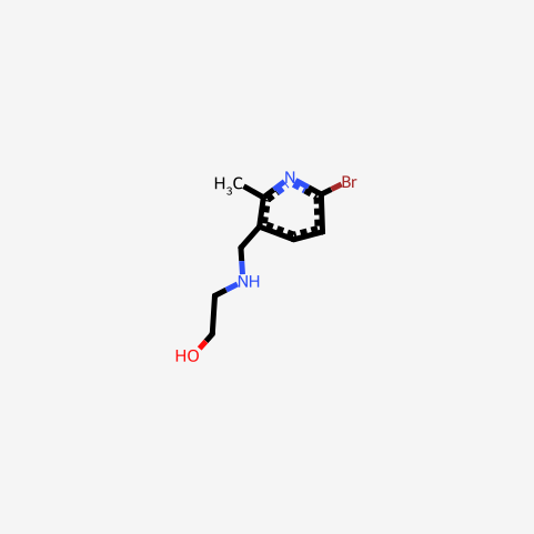 Cc1nc(Br)ccc1CNCCO